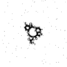 C/C1=C2\C(Cl)=C(F)C=CC2OCCN(CC(N)=O)C(=O)c2cnn3ccc(nc23)O1